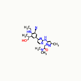 CCNc1c(C#N)cc(-c2ccnc(Nc3cc(C)nn3CC(=O)N(C)C)n2)cc1C(C)CO